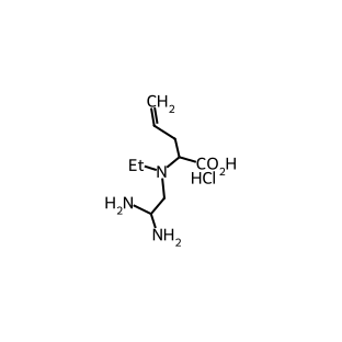 C=CCC(C(=O)O)N(CC)CC(N)N.Cl